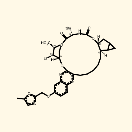 CC[C@@H]1[C@@H]2CN(C(=O)[C@H](C(C)(C)C)NC(=O)O[C@@H]3CC4CC4[C@H]3CCCCCc3nc4ccc(OCc5ncc(C)o5)cc4nc3O2)[C@@H]1C(=O)O